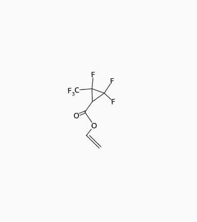 C=COC(=O)C1C(F)(F)C1(F)C(F)(F)F